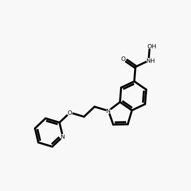 O=C(NO)c1ccc2ccn(CCOc3ccccn3)c2c1